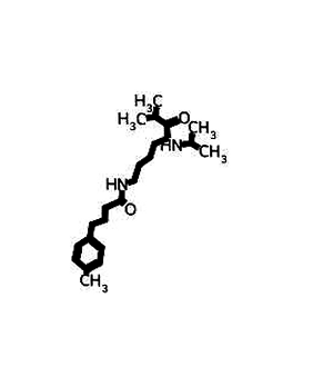 Cc1ccc(CCCC(=O)NCCCCC(NC(C)C)C(=O)C(C)C)cc1